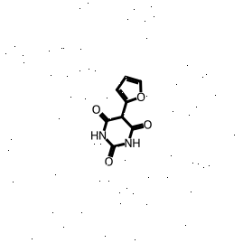 O=C1NC(=O)C(c2ccco2)C(=O)N1